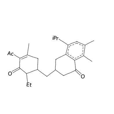 CCC1C(=O)C(C(C)=O)=C(C)CC1CC1CC(=O)c2c(C)c(C)cc(C(C)C)c2C1